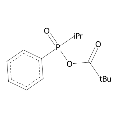 CC(C)P(=O)(OC(=O)C(C)(C)C)c1ccccc1